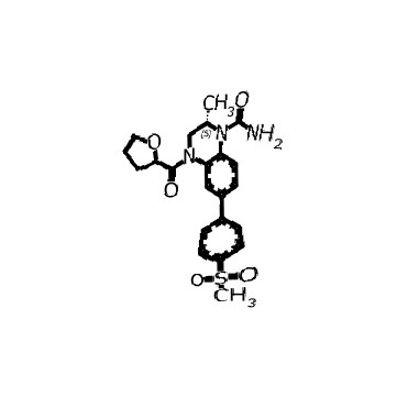 C[C@H]1CN(C(=O)C2CCCO2)c2cc(-c3ccc(S(C)(=O)=O)cc3)ccc2N1C(N)=O